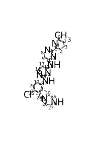 Cc1cccc(-c2nccc(Nc3ccnc(Nc4ccc(Cl)c(CN5CCNCC5)c4)n3)n2)n1